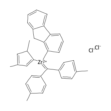 CC1=CC(C)[C]([Zr+2](=[C](c2ccc(C)cc2)c2ccc(C)cc2)[c]2cccc3c2Cc2ccccc2-3)=C1.[Cl-].[Cl-]